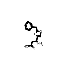 NC(CC(=O)O)C1=COC(Cc2ccccc2)O1